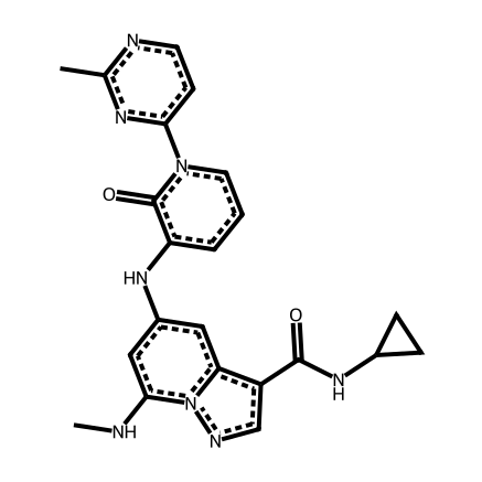 CNc1cc(Nc2cccn(-c3ccnc(C)n3)c2=O)cc2c(C(=O)NC3CC3)cnn12